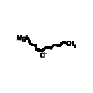 CCCC/C=C/C=C\CC[CH2][Mg+].[Cl-]